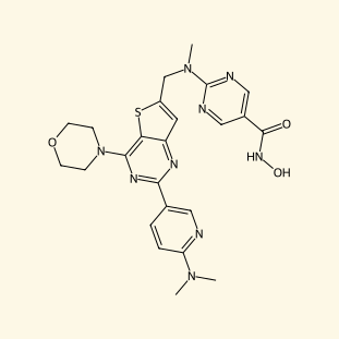 CN(C)c1ccc(-c2nc(N3CCOCC3)c3sc(CN(C)c4ncc(C(=O)NO)cn4)cc3n2)cn1